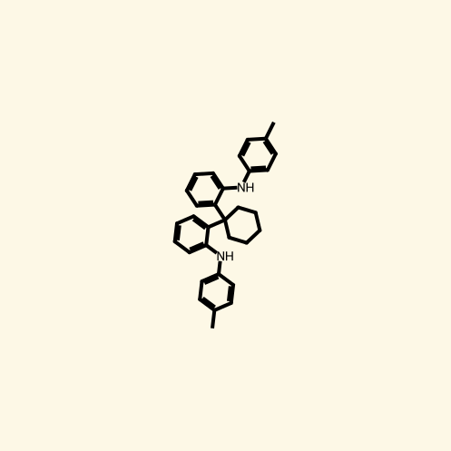 Cc1ccc(Nc2ccccc2C2(c3ccccc3Nc3ccc(C)cc3)CCCCC2)cc1